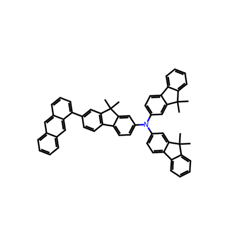 CC1(C)c2ccccc2-c2ccc(N(c3ccc4c(c3)C(C)(C)c3ccccc3-4)c3ccc4c(c3)C(C)(C)c3cc(-c5cccc6cc7ccccc7cc56)ccc3-4)cc21